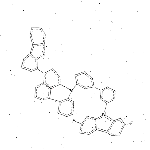 Fc1ccc2c3ccc(F)cc3n(-c3cccc(-c4cccc(N(c5ccc(-c6cccc7c6sc6ccccc67)cc5)c5ccccc5-c5ccccc5)c4)c3)c2c1